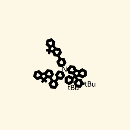 CC(C)(C)c1cccc(C2(c3cccc(C(C)(C)C)c3)c3ccccc3-c3ccc(N(c4ccc(-c5ccc6c(c5)C(C)(C)c5ccccc5-6)cc4)c4ccc(-c5ccccc5-c5cccc6c5C(C)(C)c5ccccc5-6)cc4)cc32)c1